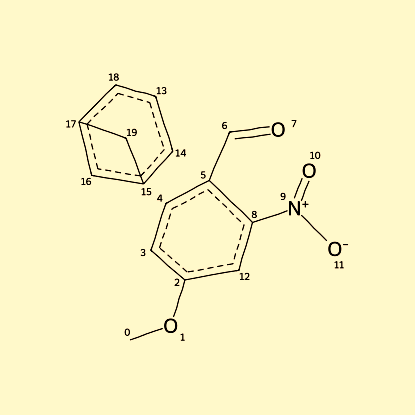 COc1ccc(C=O)c([N+](=O)[O-])c1.c1cc2cc(c1)C2